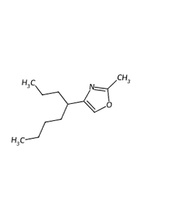 CCCCC(CCC)c1coc(C)n1